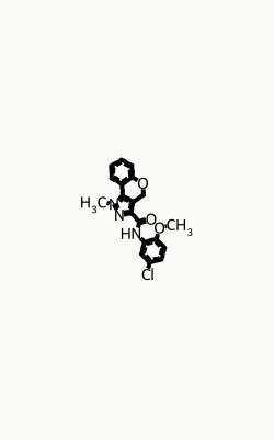 COc1ccc(Cl)cc1NC(=O)c1nn(C)c2c1COc1ccccc1-2